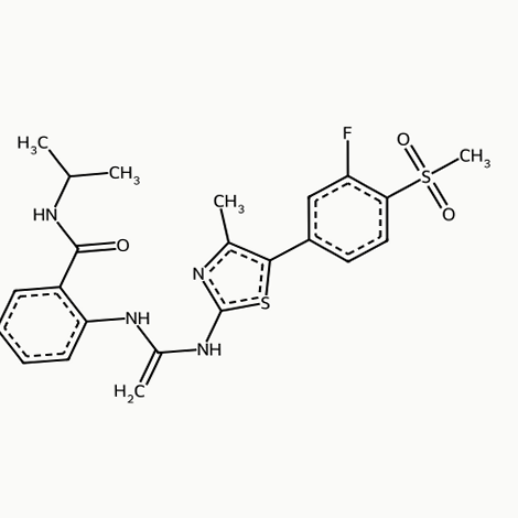 C=C(Nc1nc(C)c(-c2ccc(S(C)(=O)=O)c(F)c2)s1)Nc1ccccc1C(=O)NC(C)C